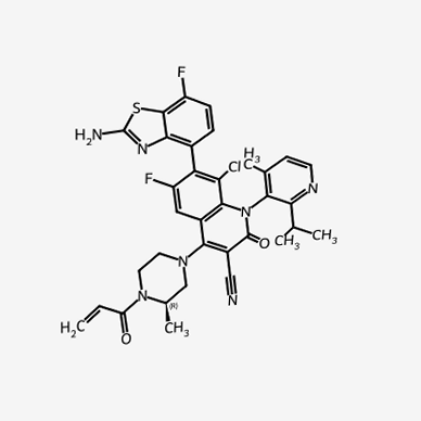 C=CC(=O)N1CCN(c2c(C#N)c(=O)n(-c3c(C)ccnc3C(C)C)c3c(Cl)c(-c4ccc(F)c5sc(N)nc45)c(F)cc23)C[C@H]1C